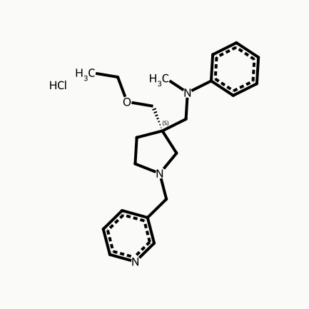 CCOC[C@@]1(CN(C)c2ccccc2)CCN(Cc2cccnc2)C1.Cl